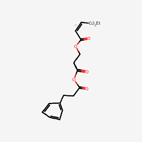 CCOC(=O)/C=C\C(=O)OCCC(=O)OC(=O)CCc1ccccc1